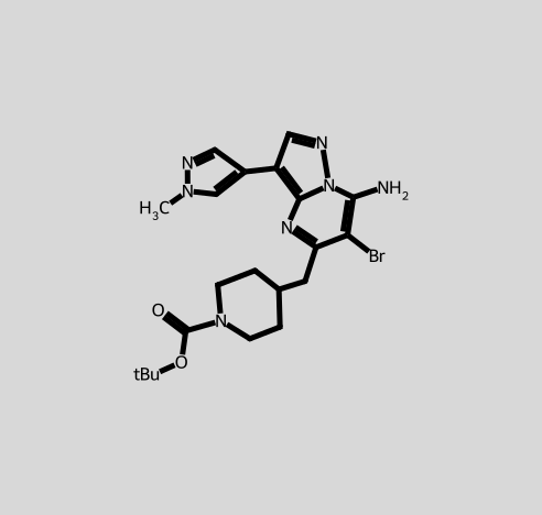 Cn1cc(-c2cnn3c(N)c(Br)c(CC4CCN(C(=O)OC(C)(C)C)CC4)nc23)cn1